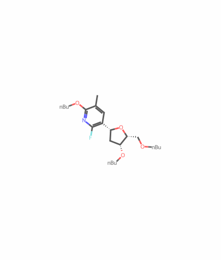 CCCCOC[C@H]1O[C@@H](c2cc(C)c(OCCCC)nc2F)C[C@H]1OCCCC